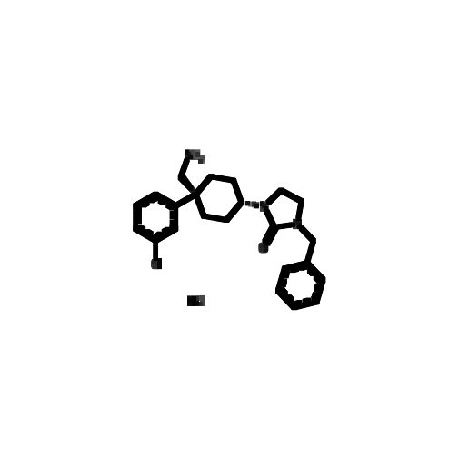 Cl.NC[C@]1(c2cccc(Cl)c2)CC[C@@H](N2CCN(Cc3ccccc3)C2=O)CC1